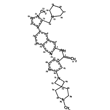 C=C(Nc1cc2cc(-c3cnn(C)c3CN3CCCCC3)ccc2cn1)c1ccnc(N2CC3(CCN(C)CC3)C2)c1